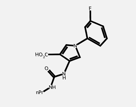 CCCNC(=O)Nc1cn(-c2cccc(F)c2)cc1C(=O)O